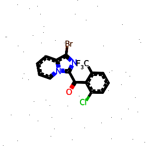 O=C(c1c(Cl)cccc1C(F)(F)F)c1nc(Br)c2ccccn12